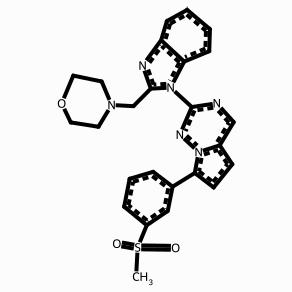 CS(=O)(=O)c1cccc(-c2ccc3cnc(-n4c(CN5CCOCC5)nc5c[c]ccc54)nn23)c1